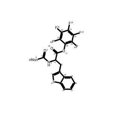 CCCCCCCCCC(=O)NC(Cc1csc2ccccc12)C(=O)Oc1c(F)c(F)c(F)c(F)c1F